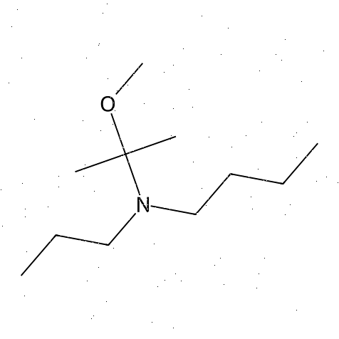 CCCCN(CCC)C(C)(C)OC